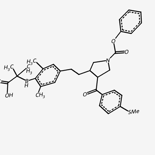 C=C(O)C(C)(C)Bc1c(C)cc(CCC2CN(C(=O)Oc3ccccc3)CC2C(=O)c2ccc(SC)cc2)cc1C